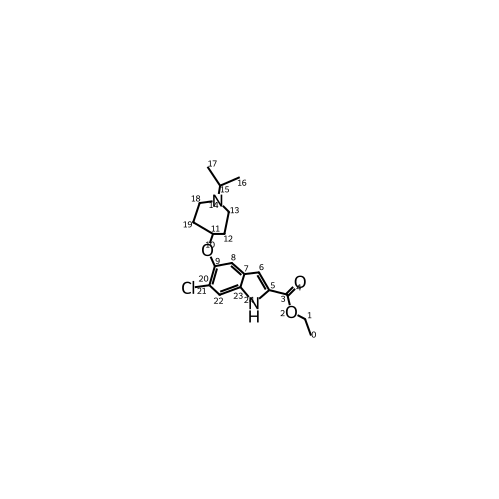 CCOC(=O)c1cc2cc(OC3CCN(C(C)C)CC3)c(Cl)cc2[nH]1